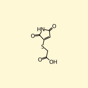 O=C(O)CSC1=CC(=O)NC1=O